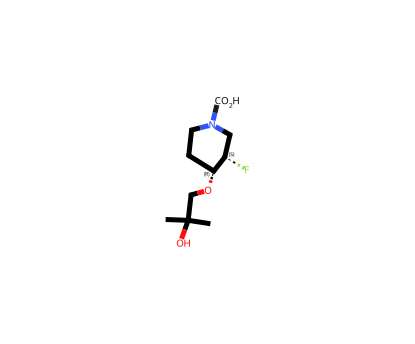 CC(C)(O)CO[C@@H]1CCN(C(=O)O)C[C@@H]1F